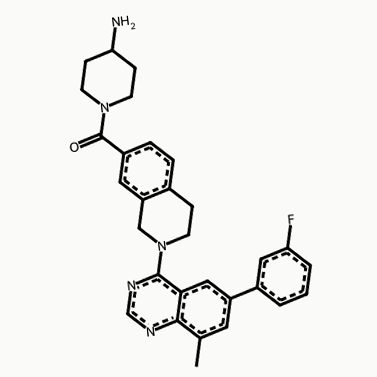 Cc1cc(-c2cccc(F)c2)cc2c(N3CCc4ccc(C(=O)N5CCC(N)CC5)cc4C3)ncnc12